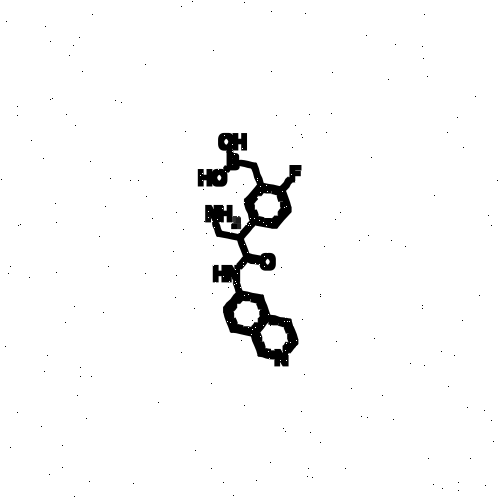 NCC(C(=O)Nc1ccc2cnccc2c1)c1ccc(F)c(CB(O)O)c1